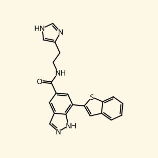 O=C(NCCc1c[nH]cn1)c1cc(-c2cc3ccccc3s2)c2[nH]ncc2c1